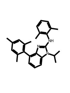 Cc1cc(C)c(-c2cccc3c2nc(Nc2c(C)cccc2C)n3C(C)C)c(C)c1